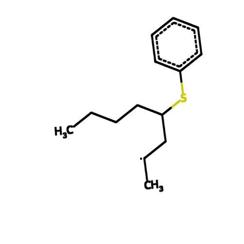 C[CH]CC(CCCC)Sc1ccccc1